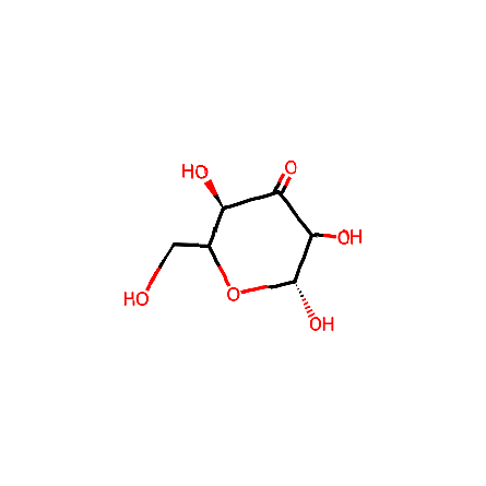 O=C1C(O)[C@H](O)OC(CO)[C@H]1O